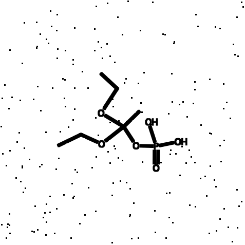 CCOC(C)(OCC)OP(=O)(O)O